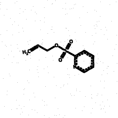 C=CCOS(=O)(=O)c1ccccn1